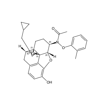 CC(=O)N(Oc1ccccc1C)[C@@H]1CC[C@@]2(O)[C@H]3Cc4ccc(O)c5c4[C@@]2(CCN3CC2CC2)[C@H]1O5